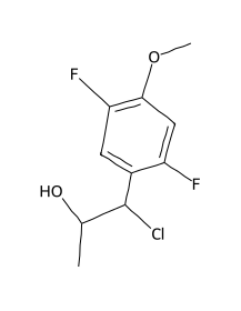 COc1cc(F)c(C(Cl)C(C)O)cc1F